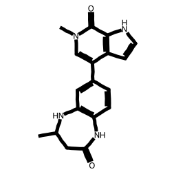 CC1CC(=O)Nc2ccc(-c3cn(C)c(=O)c4[nH]ccc34)cc2N1